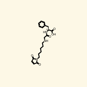 O=C(CNCCCCCCN1C(=O)C=CC1=O)N[C@@H](Cc1ccccc1)C(=O)O